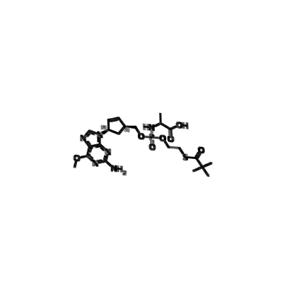 COc1nc(N)nc2c1ncn2[C@H]1C=C[C@@H](COP(=O)(NC(C)C(=O)O)OCCSC(=O)C(C)(C)C)C1